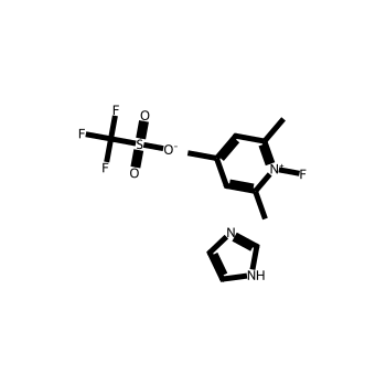 Cc1cc(C)[n+](F)c(C)c1.O=S(=O)([O-])C(F)(F)F.c1c[nH]cn1